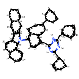 c1ccc(-c2ccc3c(-n4c5cc6ccccc6cc5c5ccc6ccccc6c54)ccc(-c4nc(-c5ccccc5)nc(-c5ccccc5)n4)c3c2)cc1